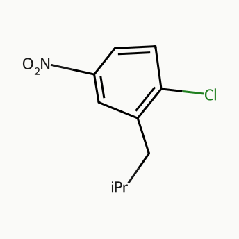 CC(C)Cc1cc([N+](=O)[O-])ccc1Cl